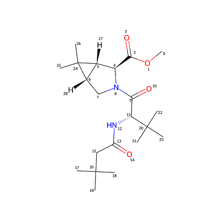 COC(=O)[C@@H]1[C@@H]2[C@H](CN1C(=O)[C@@H](NC(=O)CC(C)(C)C)C(C)(C)C)C2(C)C